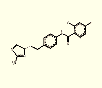 NC1=N[C@@H](CCc2ccc(NC(=O)c3ncc(F)cc3F)cc2)CO1